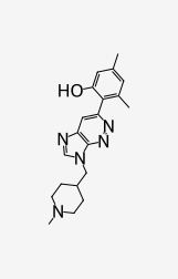 Cc1cc(C)c(-c2cc3ncn(CC4CCN(C)CC4)c3nn2)c(O)c1